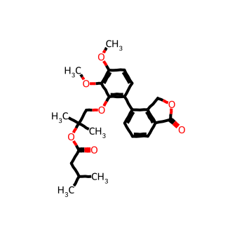 COc1ccc(-c2cccc3c2COC3=O)c(OCC(C)(C)OC(=O)CC(C)C)c1OC